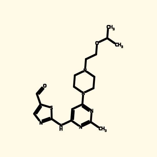 Cc1nc(Nc2ncc(C=O)s2)cc(N2CCN(CCOC(C)C)CC2)n1